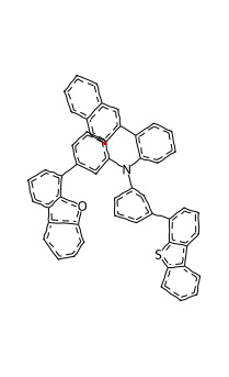 c1cc(-c2cccc3c2oc2ccccc23)cc(N(c2cccc(-c3cccc4c3sc3ccccc34)c2)c2ccccc2-c2ccc3ccccc3c2)c1